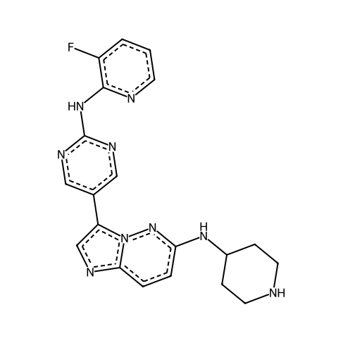 Fc1cccnc1Nc1ncc(-c2cnc3ccc(NC4CCNCC4)nn23)cn1